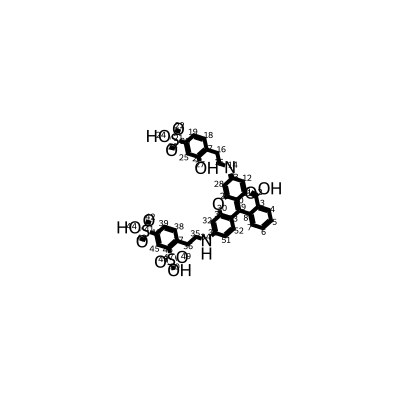 O=C(O)c1ccccc1-c1c2cc/c(=N/CCc3ccc(S(=O)(=O)O)cc3O)cc-2oc2cc(NCCc3ccc(S(=O)(=O)O)cc3S(=O)(=O)O)ccc12